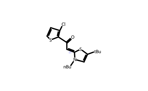 CCCCN1C=C(C(C)(C)C)S/C1=C\C(=O)c1sccc1Cl